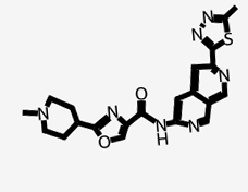 Cc1nnc(-c2cc3cc(NC(=O)c4coc(C5CCN(C)CC5)n4)ncc3cn2)s1